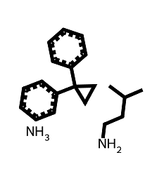 CC(C)CCN.N.c1ccc(C2(c3ccccc3)CC2)cc1